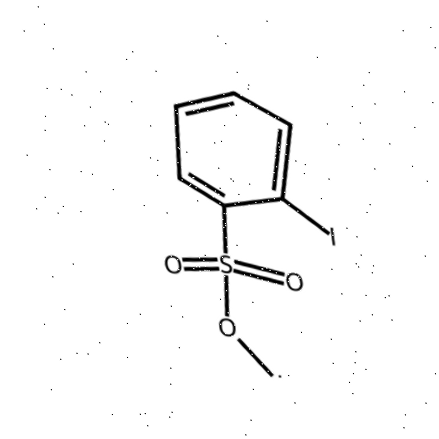 [CH2]OS(=O)(=O)c1ccccc1I